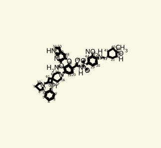 CC(C)c1ccccc1[C@@H]1CCCN1C1CC2(CCN(c3ccc(C(=O)NS(=O)(=O)c4ccc(NC[C@H]5CC[C@](C)(O)CC5)c([N+](=O)[O-])c4)c(Oc4cc5cc[nH]c5nc4ON)c3)CC2)C1